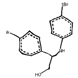 CC(C)(C)c1ccc(NC(CO)c2ccc(Br)cc2)cc1